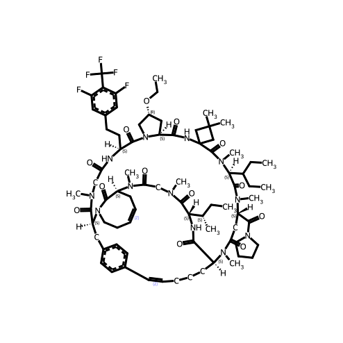 CCO[C@@H]1C[C@H]2C(=O)NC3(CC(C)(C)C3)C(=O)N(C)[C@@H](C(CC)CC)C(=O)N(C)[C@H](C(=O)N3CCCC3)CC(=O)N(C)[C@H]3CCC/C=C\c4ccc(cc4)C[C@@H](C(=O)N(C)CC(=O)N[C@@H](CCc4cc(F)c(C(F)(F)F)c(F)c4)C(=O)N2C1)N1CC/C=C\C[C@@H](C1=O)N(C)C(=O)CN(C)C(=O)[C@H]([C@@H](C)CC)NC3=O